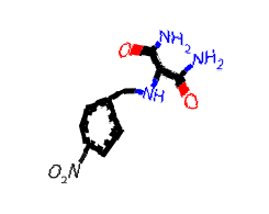 NC(=O)C(NCc1ccc([N+](=O)[O-])cc1)C(N)=O